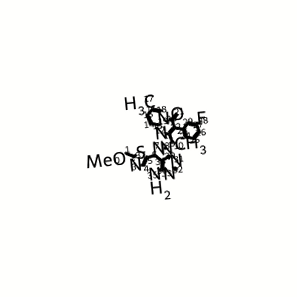 COCc1ncc(-c2nn([C@@H](C)c3nc4ccc(C)cn4c(=O)c3-c3cccc(F)c3)c3ncnc(N)c23)s1